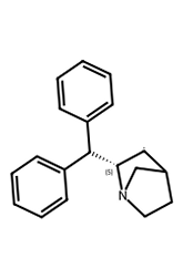 [CH]1C2CCN(C2)[C@@H]1C(c1ccccc1)c1ccccc1